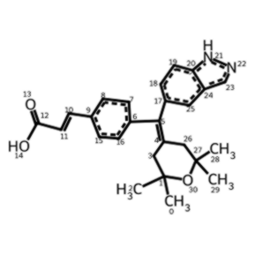 CC1(C)CC(=C(c2ccc(/C=C/C(=O)O)cc2)c2ccc3[nH]ncc3c2)CC(C)(C)O1